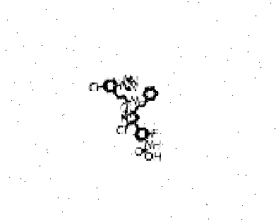 O=C(O)Nc1ccc(-c2cc(C(Cc3ccccc3)NC(=O)C=Cc3cc(Cl)ccc3-n3cnnn3)nnc2Cl)cc1F